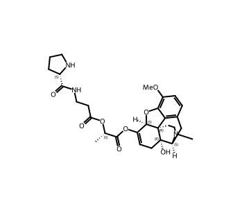 COc1ccc2c3c1O[C@@H]1C(OC(=O)[C@H](C)OC(=O)CCNC(=O)[C@@H]4CCCN4)=CC[C@]4(O)[C@H](C2)N(C)CC[C@@]314